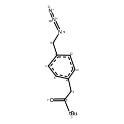 CC(C)(C)C(=O)Cc1ccc(CN=[N+]=[N-])cc1